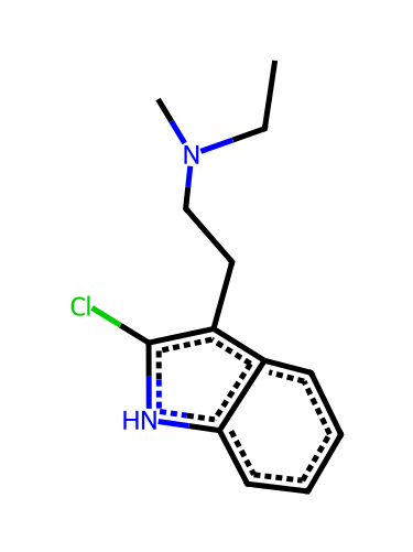 CCN(C)CCc1c(Cl)[nH]c2ccccc12